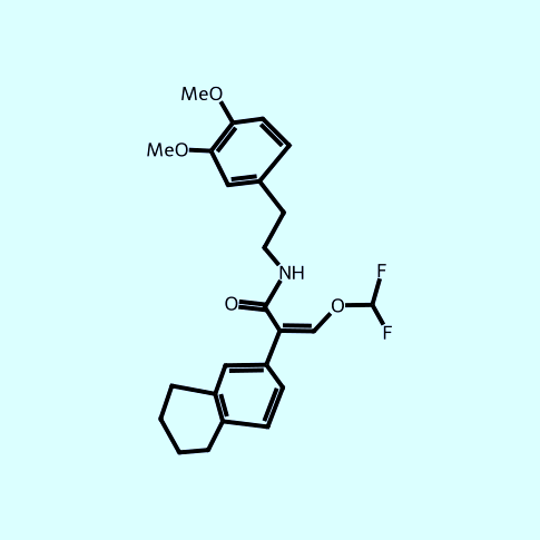 COc1ccc(CCNC(=O)C(=COC(F)F)c2ccc3c(c2)CCCC3)cc1OC